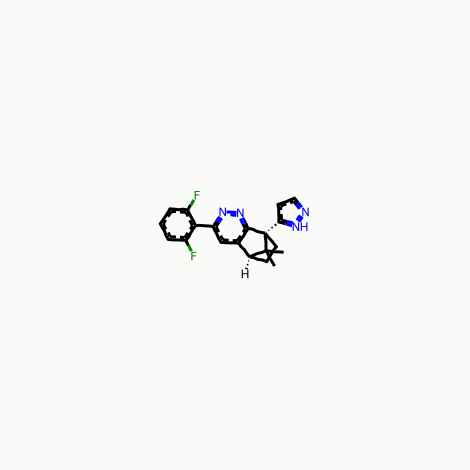 CC1(C)[C@H]2CC[C@]1(c1ccn[nH]1)c1nnc(-c3c(F)cccc3F)cc12